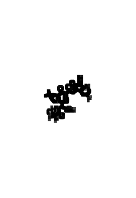 CC(C)(C)C(NC(=O)C(F)(F)Cl)C(=O)N1CC2C(C1C(=O)NC(C#N)CC1C(=O)Nc3ncc(F)cc31)C2(C)C